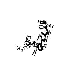 COc1ncc(Cl)cc1S(=O)(=O)Nc1ccc(F)c(-c2cn3cnc(C(=O)Nc4cnoc4)c3cn2)c1F